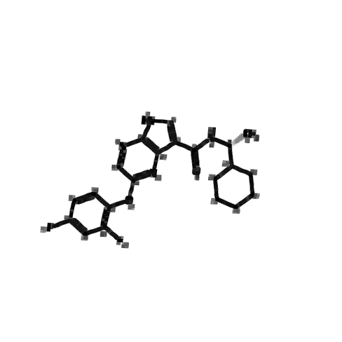 C[C@@H](NC(=O)c1c[nH]c2ncc(Oc3ccc(F)cc3F)nc12)C1CCCCC1